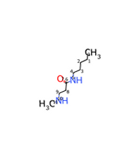 CCCCCNC(=O)CCNC